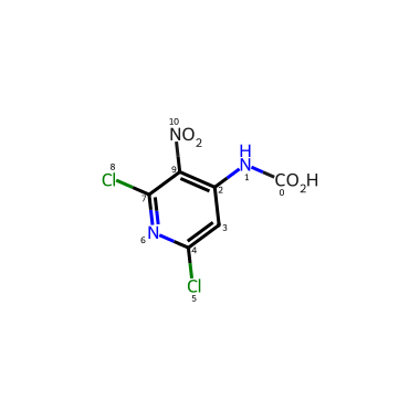 O=C(O)Nc1cc(Cl)nc(Cl)c1[N+](=O)[O-]